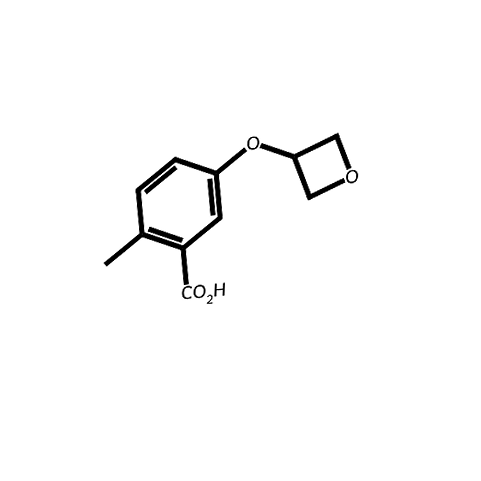 Cc1ccc(OC2COC2)cc1C(=O)O